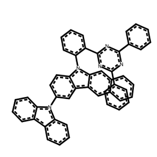 c1ccc(-c2nc(-c3ccccc3)nc(-c3ccccc3-n3c4ccc(-n5c6ccccc6c6ccccc65)cc4c4cc5ccccc5cc43)n2)cc1